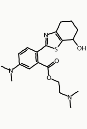 CN(C)CCOC(=O)c1cc(N(C)C)ccc1-c1nc2c(s1)C(O)CCC2